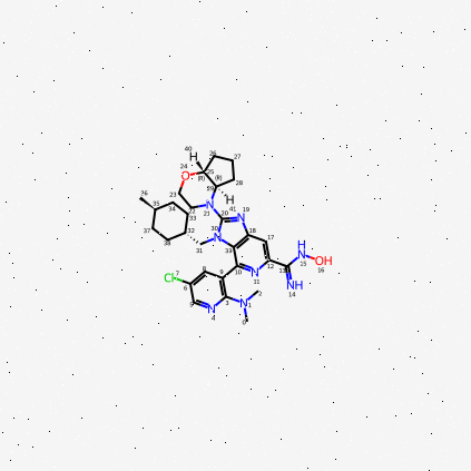 CN(C)c1ncc(Cl)cc1-c1nc(C(=N)NO)cc2nc(N3CCO[C@@H]4CCC[C@H]43)n(C[C@H]3CC[C@H](C)CC3)c12